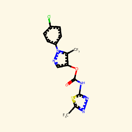 O=C(Nc1nnc(C(F)(F)F)s1)Oc1cnn(-c2ccc(Cl)cc2)c1C(F)(F)F